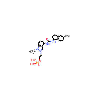 CC(C)(C)c1ccc2c(c1)CCC2NC(=O)Nc1cccc2c1CN(CCOP(=O)(O)O)N2C(=O)O